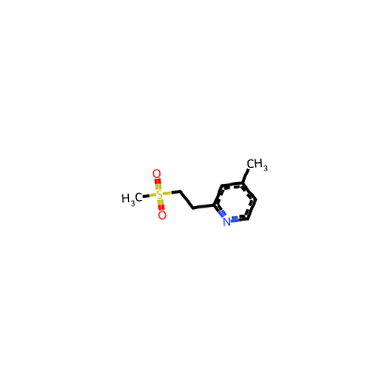 Cc1ccnc(CCS(C)(=O)=O)c1